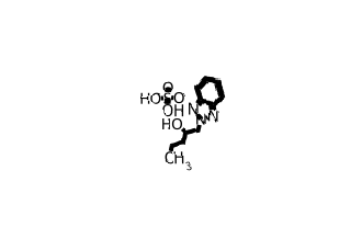 CCCC(O)Cn1nc2ccccc2n1.O=S(=O)(O)O